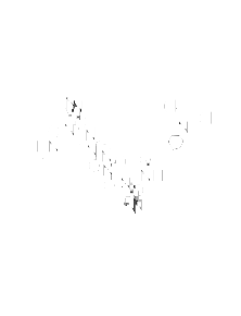 CCCN(CC(=O)N(CC(N)=O)Cc1cn(C)nn1)C(=O)N(CCC)C(=O)N(CCC)C(=O)N(CCC)C(=O)CN(Cc1cn(C)nn1)C(=O)CNC(=O)CCCc1ccc(N(CCCl)CCCl)cc1